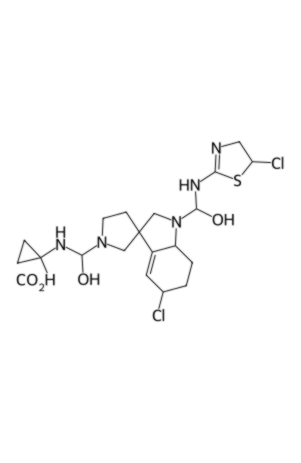 O=C(O)C1(NC(O)N2CCC3(C2)CN(C(O)NC2=NCC(Cl)S2)C2CCC(Cl)C=C23)CC1